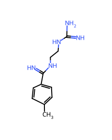 Cc1ccc(C(=N)NCCNC(=N)N)cc1